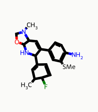 CSc1cc(C2=CC3C(NC2C2=CC(C)C(F)C=C2)OCN3C)ccc1N